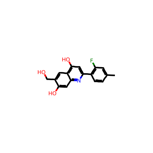 Cc1ccc(-c2cc(O)c3cc(CO)c(O)cc3n2)c(F)c1